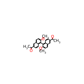 COc1ccc2cc(C(C)=O)ccc2c1-c1c(OC)ccc2cc(C(C)=O)ccc12